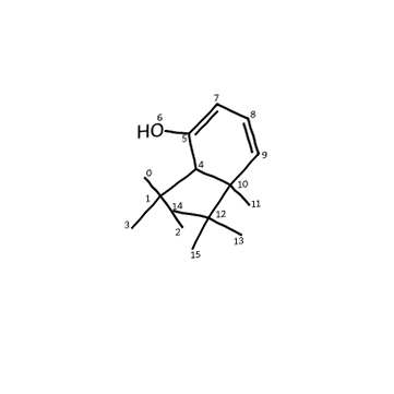 CC(C)(C)C1C(O)=CC=CC1(C)C(C)(C)C